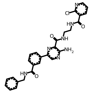 Nc1ncc(-c2cccc(C(=O)NCc3ccccc3)c2)nc1C(=O)NCCNC(=O)c1cccnc1Cl